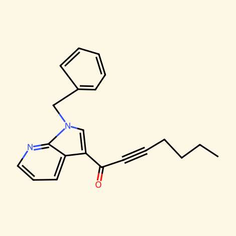 CCCCC#CC(=O)c1cn(Cc2ccccc2)c2ncccc12